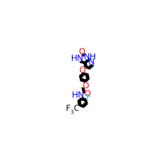 O=C(COc1ccc(Oc2ccnc3c2CNC(=O)N3)cc1)Nc1cc(C(F)(F)F)ccc1F